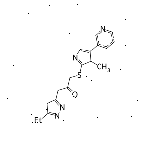 CCC1=NN=C(CC(=O)CSC2=NC=C(c3cccnc3)C2C)C1